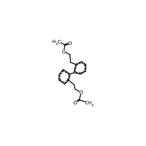 CC(=O)OCCc1ccc[c]c1-c1ccccc1CCOC(C)=O